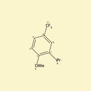 COc1ccc(C(F)(F)F)cc1[C](C)C